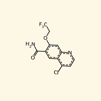 NC(=O)c1cc2c(Cl)ccnc2cc1OCC(F)(F)F